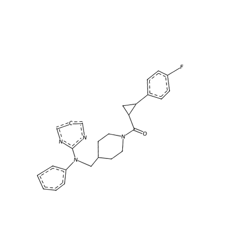 O=C(C1CC1c1ccc(F)cc1)N1CCC(CN(c2ccccc2)c2ncccn2)CC1